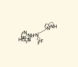 N#Cc1nccnc1NC(CCN(CCCCc1ccc2c(n1)NCCC2)C1CC(F)(F)C1)C(=O)O